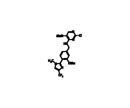 CNc1cnc(Cl)nc1NCc1ccc(-c2nc(C(F)(F)F)cn2C)c(OC)c1